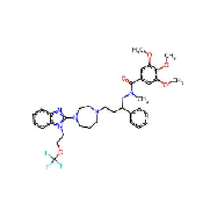 COc1cc(C(=O)N(C)CC(CCN2CCCN(c3nc4ccccc4n3CCOC(F)(F)F)CC2)c2ccccc2)cc(OC)c1OC